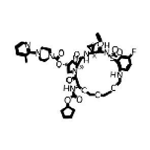 C=C[C@@H]1C[C@@]12NC(=O)[C@@H]1C[C@@H](OC(=O)N3CCN(c4ncccc4C)CC3)CN1C(=O)[C@@H](NC(=O)OC1CCCC1)CCCCCCCNc1ccc(F)cc1S(=O)(=O)NC2=O